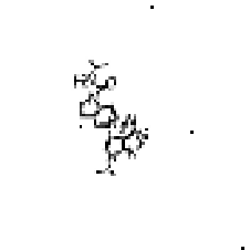 CC(C)NC(=O)N1CCc2cc(-c3cn(C(C)C)c4ncnc(N)c34)ccc21